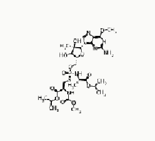 COC(=O)NC(CS[P@](=O)(N[C@@H](C)C(=O)OC(C)C)OC[C@H]1O[C@@H](n2cnc3c(OC)nc(N)nc32)[C@](C)(O)[C@@H]1O)C(=O)OC(C)C